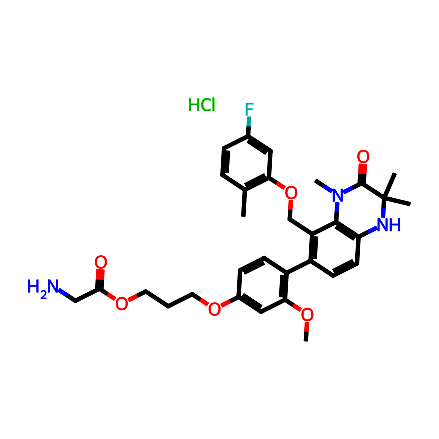 COc1cc(OCCCOC(=O)CN)ccc1-c1ccc2c(c1COc1cc(F)ccc1C)N(C)C(=O)C(C)(C)N2.Cl